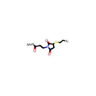 CNC(=O)CCN1C(=O)CC(SCCC(C)=O)C1=O